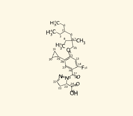 CCC(CC)CC(C)(CC)COc1cc(F)c(C(=O)N2N=CCC2C(=O)O)cc1C1CC1